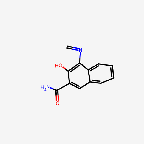 C=Nc1c(O)c(C(N)=O)cc2ccccc12